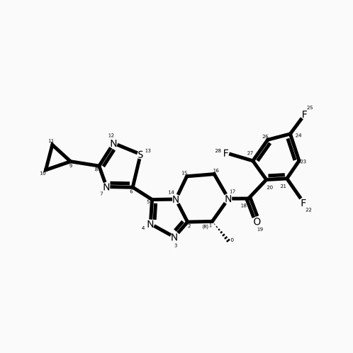 C[C@@H]1c2nnc(-c3nc(C4CC4)ns3)n2CCN1C(=O)c1c(F)cc(F)cc1F